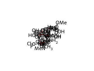 CN[C@H](C)C(=O)N[C@H]1C(=O)N[C@@H](CC(N)=O)C(=O)N[C@H]2C(=O)N[C@H]3C(=O)N[C@H](C(=O)N[C@@H](C(=O)NOCCOC)c4cc(O)cc(O)c4-c4cc3ccc4O)[C@H](O)c3ccc(c(Cl)c3)Oc3cc2cc(c3O[C@@H]2O[C@H](CO)[C@@H](O)[C@H](O)[C@H]2O[C@H]2C[C@](C)(NCCn3ccc(NC(=O)Cc4ccc(Cl)c(F)c4)nc3=O)[C@H](O)[C@H](C)O2)Oc2ccc(cc2Cl)[C@H]1O